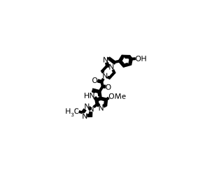 COc1cnc(-n2cnc(C)n2)c2[nH]cc(C(=O)C(=O)N3CCn4c(-c5ccc(O)cc5)cnc4C3)c12